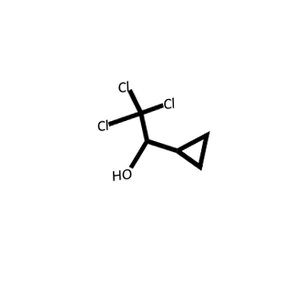 OC(C1CC1)C(Cl)(Cl)Cl